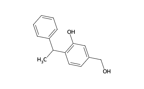 CC(c1ccccc1)c1ccc(CO)cc1O